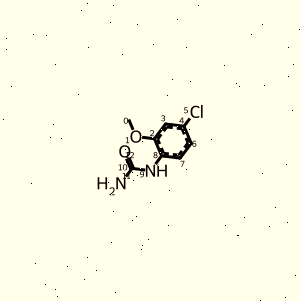 COc1cc(Cl)ccc1NC(N)=O